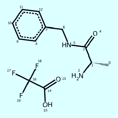 C[C@H](N)C(=O)NCc1ccccc1.O=C(O)C(F)(F)F